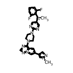 C[C@@H](c1cnc(N2CCN(c3ncnn4cc(-c5cnn(C)c5)cc34)CC2)nc1)c1c(F)cccc1F